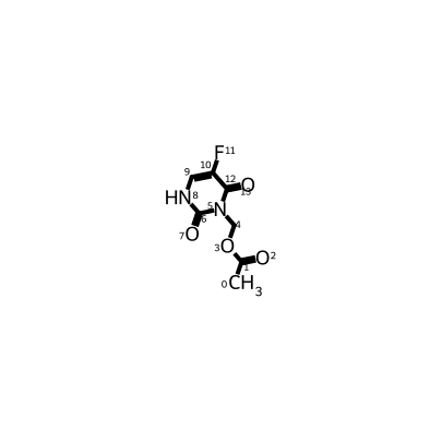 CC(=O)OCn1c(=O)[nH]cc(F)c1=O